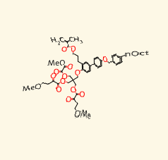 C=C(C)C(=O)OCCCc1cc(-c2ccc(OCc3ccc(CCCCCCCC)cc3)cc2)ccc1OCC(COC(=O)C(=O)CCOC)(COC(=O)C(=O)CCOC)COC(=O)C(=O)OC